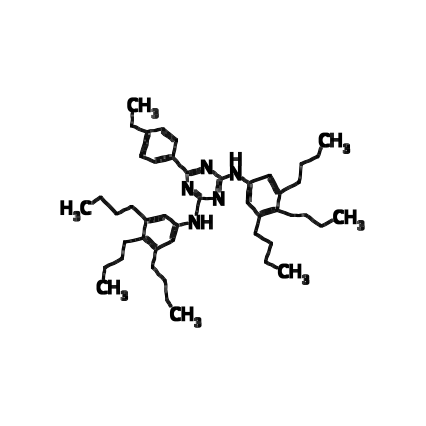 CCCCc1cc(Nc2nc(Nc3cc(CCCC)c(CCCC)c(CCCC)c3)nc(-c3ccc(CC)cc3)n2)cc(CCCC)c1CCCC